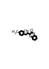 Cc1ccc(CC(C#N)c2nc3ccccc3nc2Cl)cc1